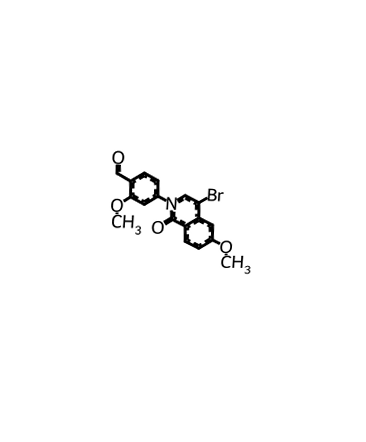 COc1ccc2c(=O)n(-c3ccc(C=O)c(OC)c3)cc(Br)c2c1